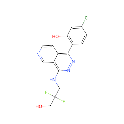 OCC(F)(F)CNc1nnc(-c2ccc(Cl)cc2O)c2ccncc12